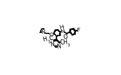 Cc1ncnc(C)c1-c1cc(NC(=O)c2ccc(F)cc2)ccc1OCCN1CCC1